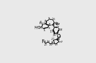 Oc1ccc2c(c1F)CCCC(Br)=C2c1ccc(O[C@H]2CCN(CCCF)C2)cc1